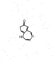 O=C1C=C2C=NC=CNC2=CC1